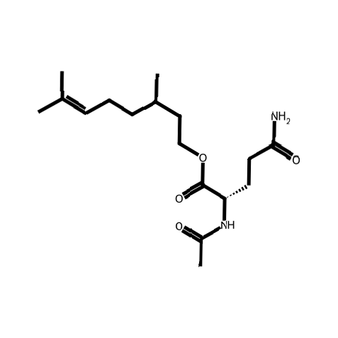 CC(=O)N[C@@H](CCC(N)=O)C(=O)OCCC(C)CCC=C(C)C